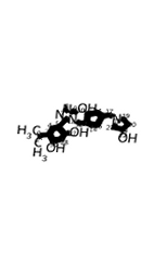 CC(C)c1cc(-c2nnc(O)n2Cc2ccc(CN3CC[C@H](O)C3)cc2)c(O)cc1O